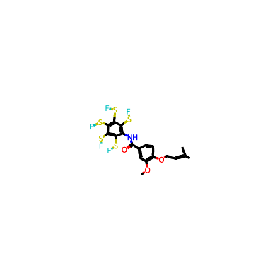 COc1cc(C(=O)Nc2c(SF)c(SF)c(SF)c(SF)c2SF)ccc1OCC=C(C)C